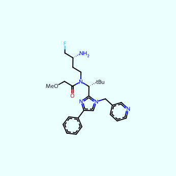 COCC(=O)N(CC[C@@H](N)CF)[C@@H](c1nc(-c2ccccc2)cn1Cc1cccnc1)C(C)(C)C